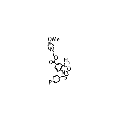 CO[C@H]1CCN(CCOC(=O)c2ccc(N3C(=O)CSC3c3ccc(F)cc3)c(C)c2)C1